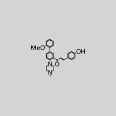 COc1ccccc1-c1ccc(N2CCN(C)CC2)c(C(=O)C=Cc2ccc(O)cc2)c1